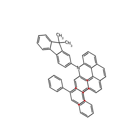 CC1(C)c2ccccc2-c2ccc(N(c3ccc(-c4ccccc4)cc3)c3cccc4ccc5ccc(-c6cccc(-c7ccccc7)c6)cc5c34)cc21